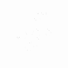 COC(=O)C1=C2C[C@H](NS(N)(=O)=O)CN2C(c2nccs2)=N[C@H]1c1ccc(F)cc1Cl